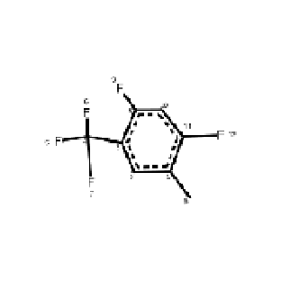 Cc1[c]c(C(F)(F)F)c(F)cc1F